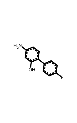 Nc1ccc(-c2ccc(F)cc2)c(O)c1